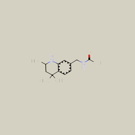 CC(=O)NCc1ccc2c(c1)NC(C)CC2(C)C